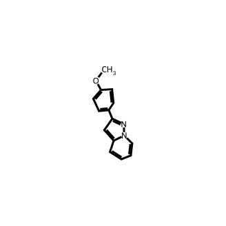 COc1ccc(-c2cc3ccccn3n2)cc1